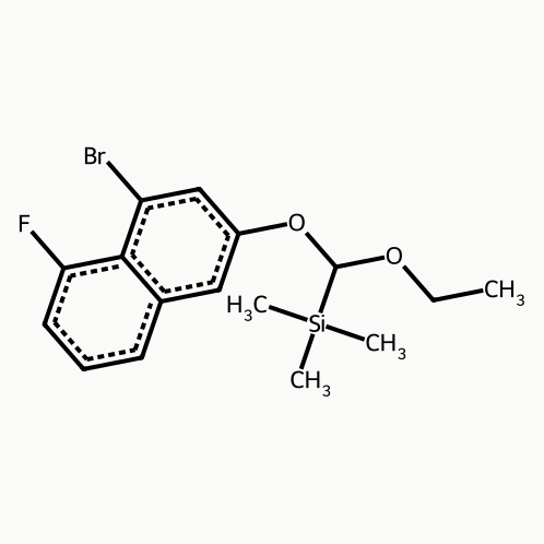 CCOC(Oc1cc(Br)c2c(F)cccc2c1)[Si](C)(C)C